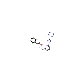 CCN(Cc1cccc(N2CC(N3CCN(C)C[C@@H]3C)C2)n1)C(=O)C(C=O)Cc1c(F)cc(O)cc1F